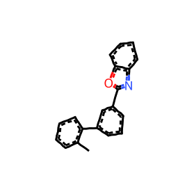 Cc1ccccc1-c1cccc(-c2nc3ccccc3o2)c1